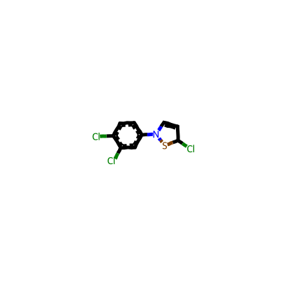 Clc1ccc(N2C=CC(Cl)S2)cc1Cl